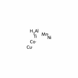 [AlH3].[Co].[Cu].[Mn].[Ni].[Ti]